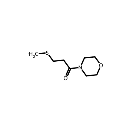 [CH2]SCCC(=O)N1CCOCC1